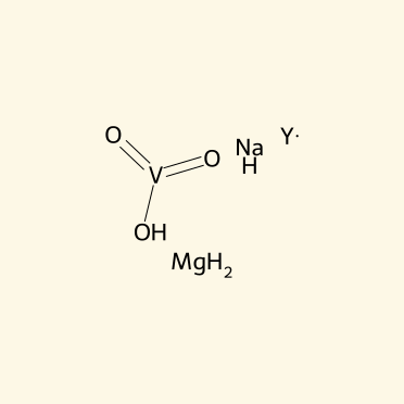 [MgH2].[NaH].[O]=[V](=[O])[OH].[Y]